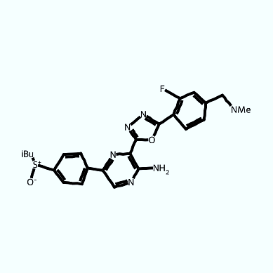 CCC(C)[S+]([O-])c1ccc(-c2cnc(N)c(-c3nnc(-c4ccc(CNC)cc4F)o3)n2)cc1